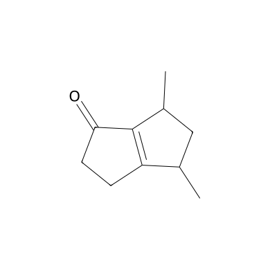 CC1CC(C)C2=C1CCC2=O